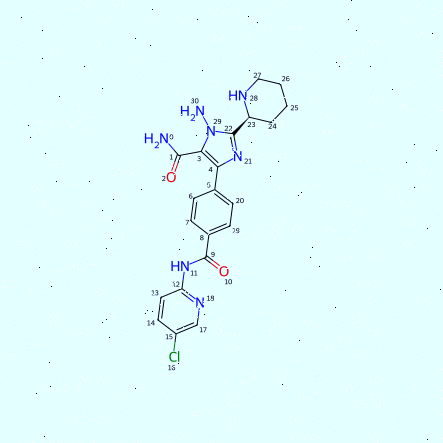 NC(=O)c1c(-c2ccc(C(=O)Nc3ccc(Cl)cn3)cc2)nc([C@@H]2CCCCN2)n1N